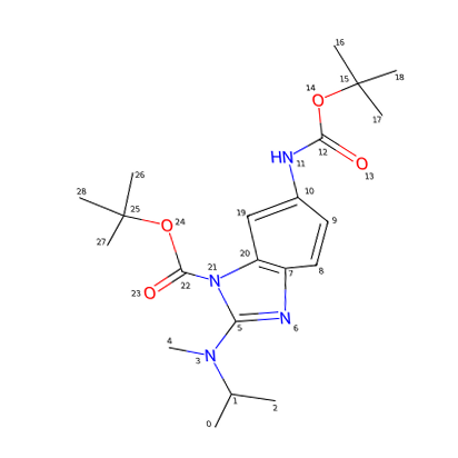 CC(C)N(C)c1nc2ccc(NC(=O)OC(C)(C)C)cc2n1C(=O)OC(C)(C)C